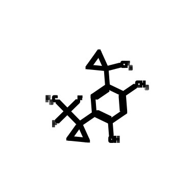 Cc1cc(O)c(C2(C(F)(F)C(F)(F)F)CC2)cc1C1(C(F)(F)F)CC1